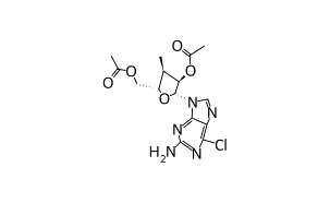 CC(=O)OC[C@H]1O[C@@H](n2cnc3c(Cl)nc(N)nc32)[C@H](OC(C)=O)[C@@H]1C